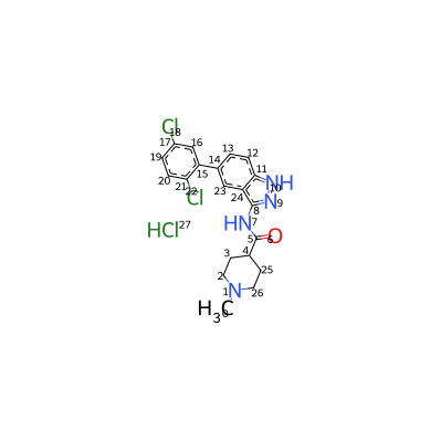 CN1CCC(C(=O)Nc2n[nH]c3ccc(-c4cc(Cl)ccc4Cl)cc23)CC1.Cl